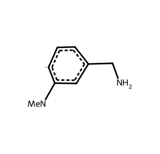 CNc1[c]ccc(CN)c1